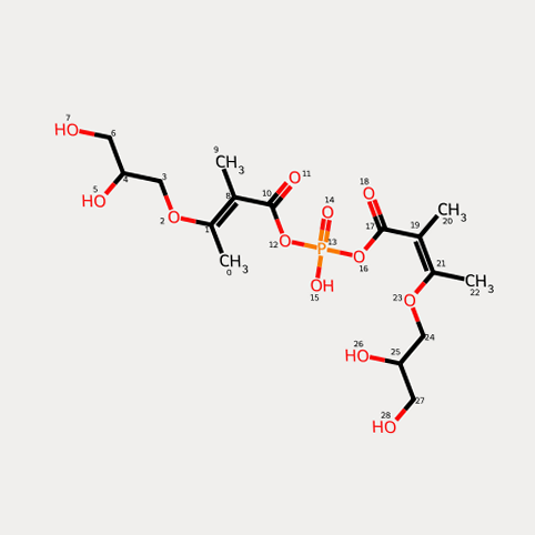 CC(OCC(O)CO)=C(C)C(=O)OP(=O)(O)OC(=O)C(C)=C(C)OCC(O)CO